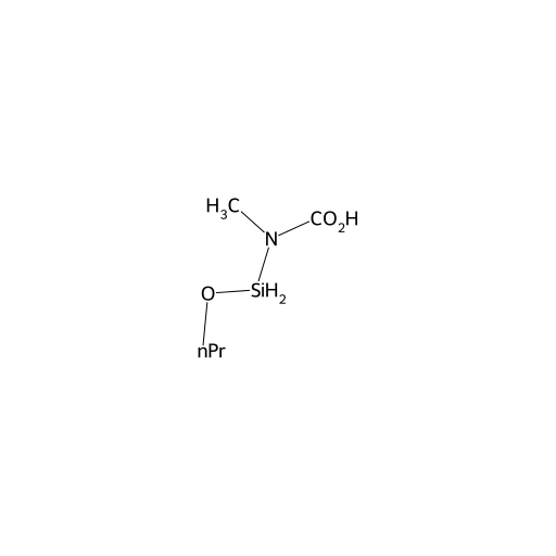 CCCO[SiH2]N(C)C(=O)O